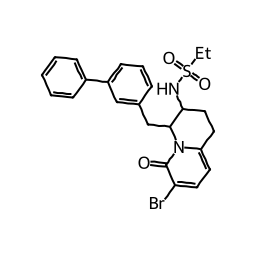 CCS(=O)(=O)NC1CCc2ccc(Br)c(=O)n2C1Cc1cccc(-c2ccccc2)c1